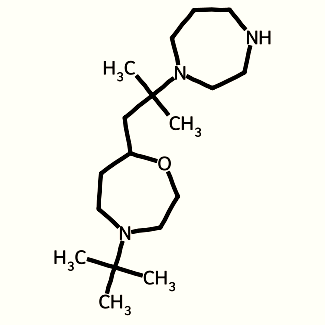 CC(C)(C)N1CCOC(CC(C)(C)N2CCCNCC2)CC1